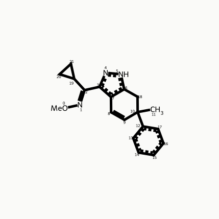 CON=C(c1n[nH]c2c1C=CC(C)(c1ccccc1)C2)C1CC1